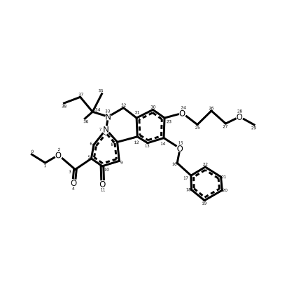 CCOC(=O)c1cn2c(cc1=O)-c1cc(OCc3ccccc3)c(OCCCOC)cc1CN2C(C)(C)CC